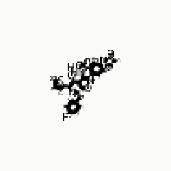 CS(=O)(=O)Nc1ccc2c(c1)S(=O)(=O)NC(c1c(O)c(-c3cccs3)nn(Cc3ccc(F)cc3)c1=O)=N2